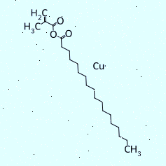 C=C(C)C(=O)OC(=O)CCCCCCCCCCCCCCCCC.[Cu]